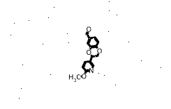 COc1ccc(C2COc3ccc(C=O)cc3O2)cn1